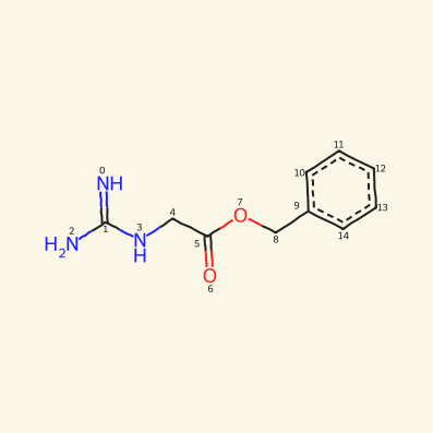 N=C(N)NCC(=O)OCc1ccccc1